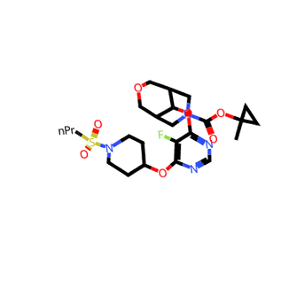 CCCS(=O)(=O)N1CCC(Oc2ncnc(OC3C4COCC3CN(C(=O)OC3(C)CC3)C4)c2F)CC1